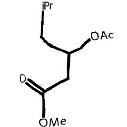 COC(=O)CC(CC(C)C)OC(C)=O